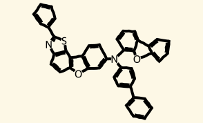 c1ccc(-c2ccc(N(c3ccc4c(c3)oc3ccc5nc(-c6ccccc6)sc5c34)c3cccc4c3oc3ccccc34)cc2)cc1